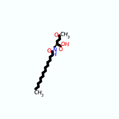 CCCCCCCCCCCCCCCC(=O)NC[C@@H](CCC(C)=O)C(=O)O